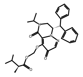 CC(C)[C@H](C)C(=O)OCOc1c2n(ncc1=O)[C@@H](C(c1ccccc1)c1ccccc1)CN(C(C)C)C2=O